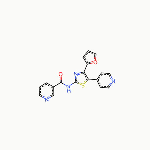 O=C(Nc1nc(-c2ccco2)c(-c2ccncc2)s1)c1cccnc1